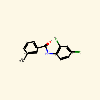 O=C(Nc1ccc(Br)cc1F)c1cccc([N+](=O)[O-])c1